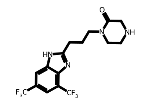 O=C1CNCCN1CCCc1nc2c(C(F)(F)F)cc(C(F)(F)F)cc2[nH]1